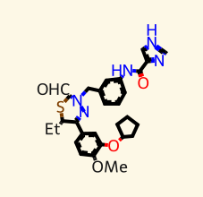 CCC1SC(C=O)N(Cc2cccc(NC(=O)c3c[nH]cn3)c2)N=C1c1ccc(OC)c(OC2CCCC2)c1